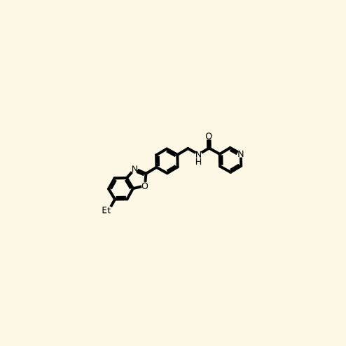 CCc1ccc2nc(-c3ccc(CNC(=O)c4cccnc4)cc3)oc2c1